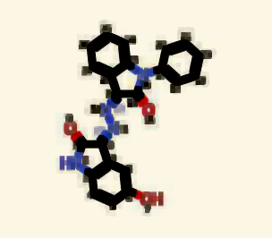 O=C1Nc2ccc(O)cc2/C1=N/N=C1\C(=O)N(c2ccccc2)c2ccccc21